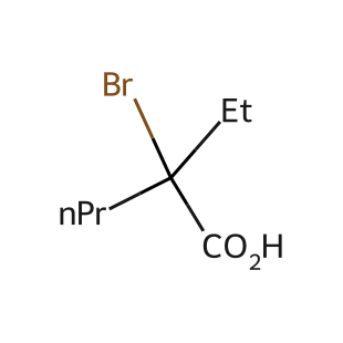 CCCC(Br)(CC)C(=O)O